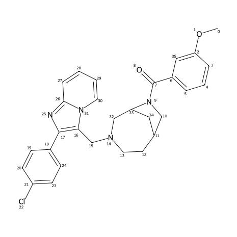 COc1cccc(C(=O)N2CC3CCN(Cc4c(-c5ccc(Cl)cc5)nc5ccccn45)CC2C3)c1